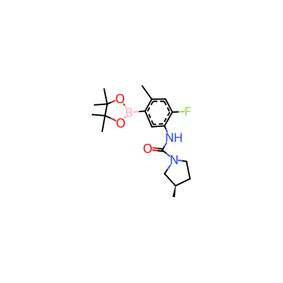 Cc1cc(F)c(NC(=O)N2CC[C@@H](C)C2)cc1B1OC(C)(C)C(C)(C)O1